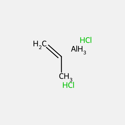 C=CC.Cl.Cl.[AlH3]